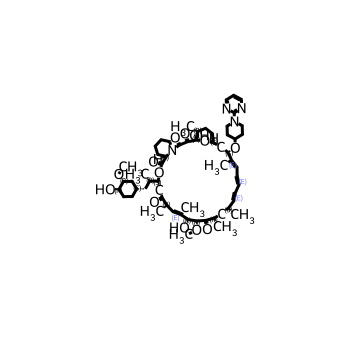 CO[C@@H]1C[C@H](C[C@@H](C)[C@@H]2CC(=O)[C@H](C)/C=C(\C)[C@@H](O)[C@@H](OC)C(=O)[C@H](C)C[C@H](C)/C=C/C=C/C=C(\C)[C@@H](OC3CCN(c4ncccn4)CC3)C[C@@H]3CC[C@@H](C)[C@@](O)(O3)C(=O)C(=O)N3CCCC[C@H]3C(=O)O2)CC[C@H]1O